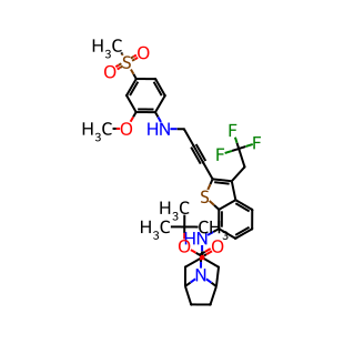 COc1cc(S(C)(=O)=O)ccc1NCC#Cc1sc2c(NC3CC4CCC(C3)N4C(=O)OC(C)(C)C)cccc2c1CC(F)(F)F